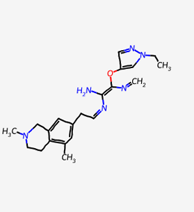 C=N/C(Oc1cnn(CC)c1)=C(N)\N=C/Cc1cc(C)c2c(c1)CN(C)CC2